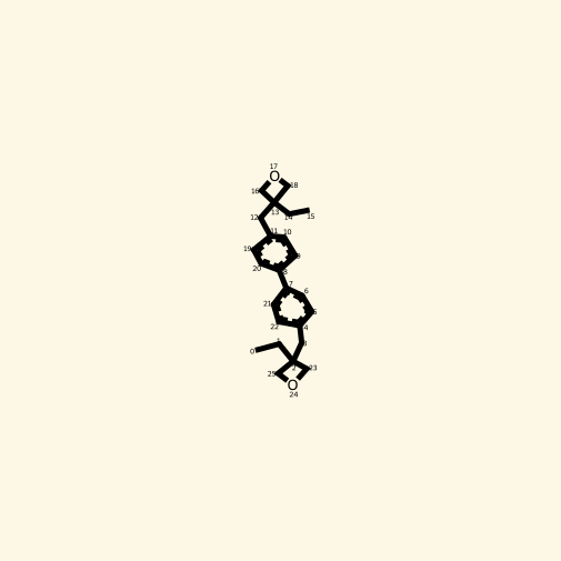 CCC1(Cc2ccc(-c3ccc(CC4(CC)COC4)cc3)cc2)COC1